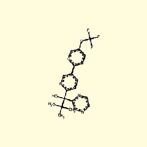 CC(C)(C)C(O)(c1ccc(-c2ccc(OC(F)(F)F)cn2)cn1)c1cnccn1